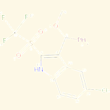 COC(P)c1c(S(=O)(=O)C(F)(F)F)[nH]c2ccc(Cl)cc12